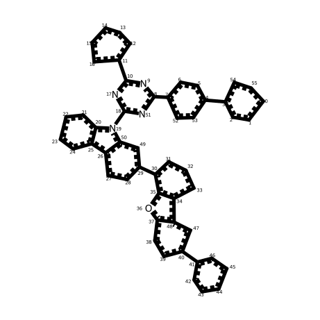 c1ccc(-c2ccc(-c3nc(-c4ccccc4)nc(-n4c5ccccc5c5ccc(-c6cccc7c6oc6ccc(-c8ccccc8)cc67)cc54)n3)cc2)cc1